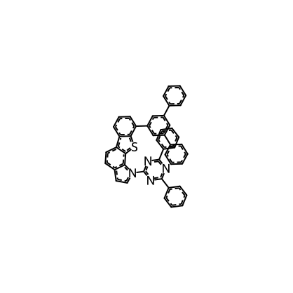 c1ccc(-c2cc(-c3ccccc3)cc(-c3cccc4c3sc3c4ccc4ccn(-c5nc(-c6ccccc6)nc(-c6ccccc6)n5)c43)c2)cc1